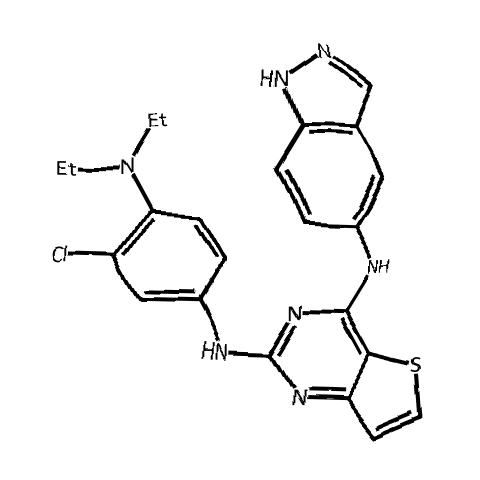 CCN(CC)c1ccc(Nc2nc(Nc3ccc4[nH]ncc4c3)c3sccc3n2)cc1Cl